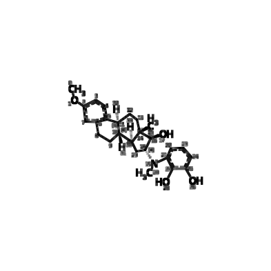 COc1ccc2c(c1)CC[C@@H]1[C@@H]2CC[C@]2(C)[C@@H](O)[C@H](N(C)c3cccc(O)c3O)C[C@@H]12